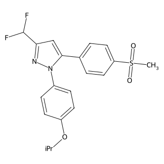 CC(C)Oc1ccc(-n2nc(C(F)F)cc2-c2ccc(S(C)(=O)=O)cc2)cc1